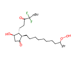 CCCCC(F)(F)C(=O)CC[C@H]1[C@H](O)CC(=O)[C@@H]1CCCCCCCCC(OO)C(C)C